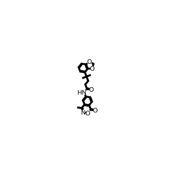 Cc1noc(=O)c2ccc(NC(=O)CCC(C)(C)c3cccc4c3OCO4)cc12